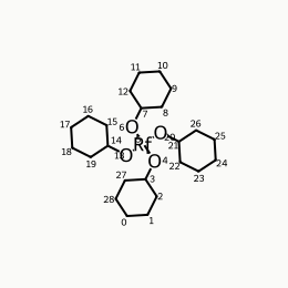 C1CCC([O][Rf]([O]C2CCCCC2)([O]C2CCCCC2)[O]C2CCCCC2)CC1